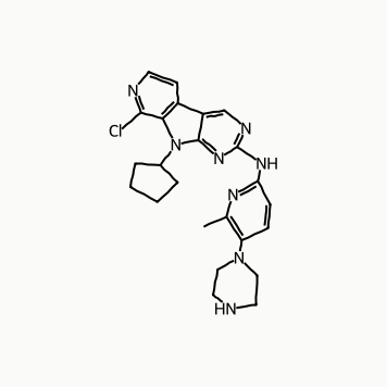 Cc1nc(Nc2ncc3c4ccnc(Cl)c4n(C4CCCC4)c3n2)ccc1N1CCNCC1